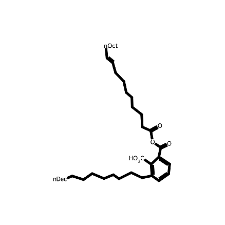 CCCCCCCCC=CCCCCCCCC(=O)OC(=O)c1cccc(CCCCCCCCCCCCCCCCCC)c1C(=O)O